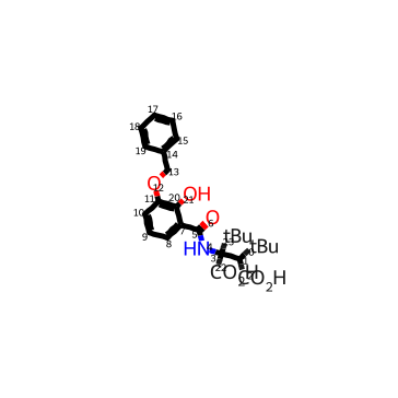 CC(C)(C)C(C(=O)O)C(NC(=O)c1cccc(OCc2ccccc2)c1O)(C(=O)O)C(C)(C)C